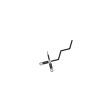 CCCCS(=O)(=O)I